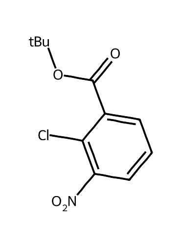 CC(C)(C)OC(=O)c1cccc([N+](=O)[O-])c1Cl